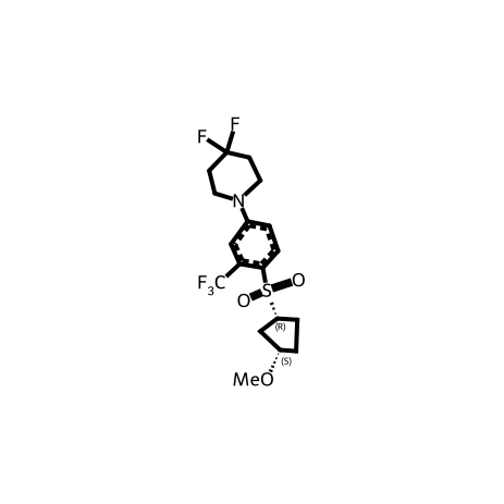 CO[C@H]1CC[C@@H](S(=O)(=O)c2ccc(N3CCC(F)(F)CC3)cc2C(F)(F)F)C1